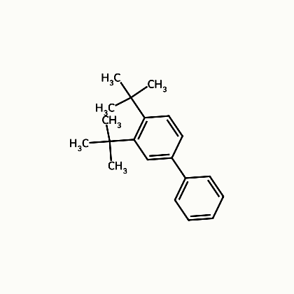 CC(C)(C)c1ccc(-c2ccccc2)cc1C(C)(C)C